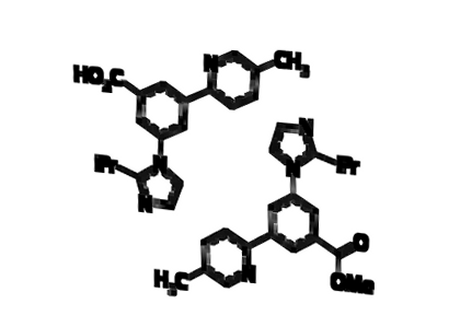 COC(=O)c1cc(-c2ccc(C)cn2)cc(-n2ccnc2C(C)C)c1.Cc1ccc(-c2cc(C(=O)O)cc(-n3ccnc3C(C)C)c2)nc1